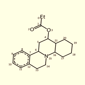 CCC(=O)OC1CC2c3ccccc3CCN2C2CCCCC12